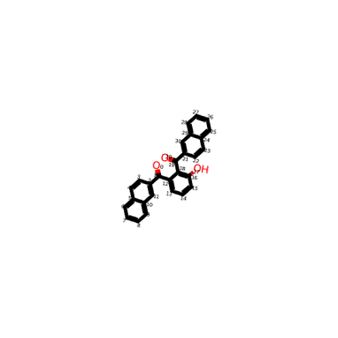 O=C(c1ccc2ccccc2c1)c1cccc(O)c1C(=O)c1ccc2ccccc2c1